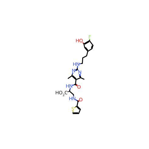 Cc1nc(NCCCc2ccc(F)c(O)c2)nc(C)c1C(=O)N[C@@H](CNC(=O)c1cccs1)C(=O)O